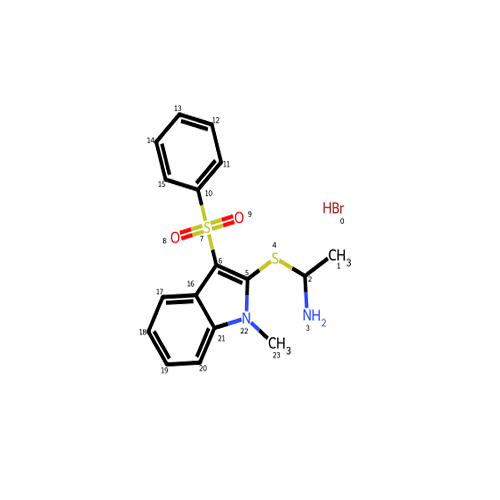 Br.CC(N)Sc1c(S(=O)(=O)c2ccccc2)c2ccccc2n1C